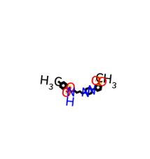 Cc1ccc(S(=O)(=O)NCCCCN2CCN(c3cccc(S(C)(=O)=O)c3)CC2)cc1